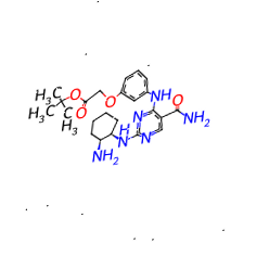 CC(C)(C)OC(=O)COc1cccc(Nc2nc(N[C@@H]3CCCC[C@@H]3N)ncc2C(N)=O)c1